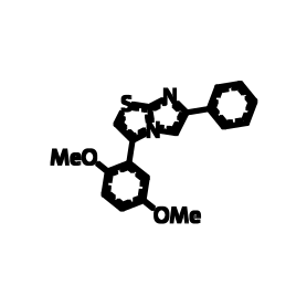 COc1ccc(OC)c(-c2csc3nc(-c4ccccc4)cn23)c1